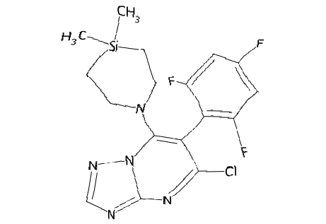 C[Si]1(C)CCN(c2c(-c3c(F)cc(F)cc3F)c(Cl)nc3ncnn23)CC1